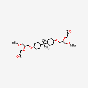 CCCCOCC(COC1CCC(C(C)(C)C2CCC(OCC(COCCCC)OCC3CO3)CC2)CC1)OCC1CO1